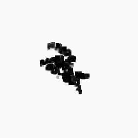 C=C[C@@H](OC)[C@@]1(O)C[C@@H]([C@@H](C)[C@@H]2O[C@@]2(C)[C@H](CC(=O)N(C)c2cc(C/C(C)=C/C)cc(OC)c2Cl)OC(=O)[C@H](C)N(C)C(=O)c2ccc3nc(N)ccc3c2)OC(=O)N1